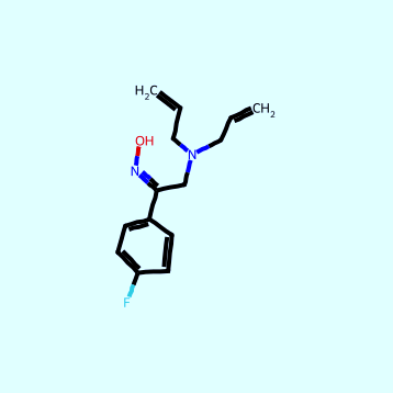 C=CCN(CC=C)C/C(=N\O)c1ccc(F)cc1